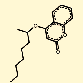 CCCCCCC(C)Oc1cc(=O)oc2ccccc12